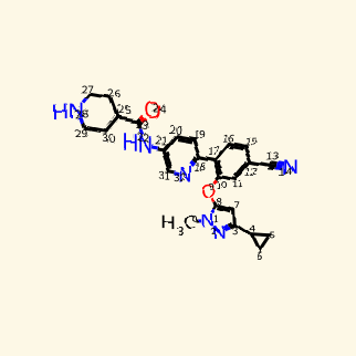 Cn1nc(C2CC2)cc1Oc1cc(C#N)ccc1-c1ccc(NC(=O)C2CCNCC2)cn1